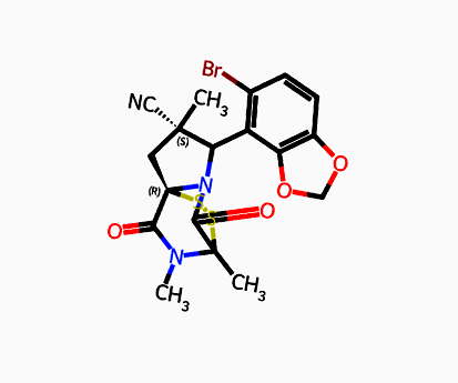 CN1C(=O)[C@]23C[C@](C)(C#N)C(c4c(Br)ccc5c4OCO5)N2C(=O)C1(C)SS3